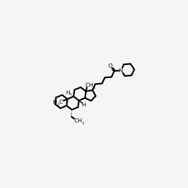 CC[C@H]1C[C@H]2C3CCC(CCCCC(=O)N4CCCCC4)C3(C)CC[C@@H]2C2(C)CCCCC12